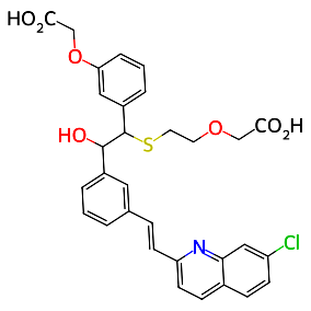 O=C(O)COCCSC(c1cccc(OCC(=O)O)c1)C(O)c1cccc(C=Cc2ccc3ccc(Cl)cc3n2)c1